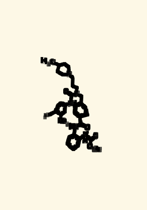 CC1CCN(CCCN(Cc2ccc(C(=O)Nc3ccccc3NC(=O)OC(C)(C)C)cc2)C(=O)Nc2ccc(F)c([N+](=O)[O-])c2)CC1